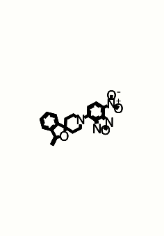 C=C1OC2(CCN(c3ccc([N+](=O)[O-])c4nonc34)CC2)c2ccccc21